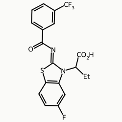 CCC(C(=O)O)n1c(=NC(=O)c2cccc(C(F)(F)F)c2)sc2ccc(F)cc21